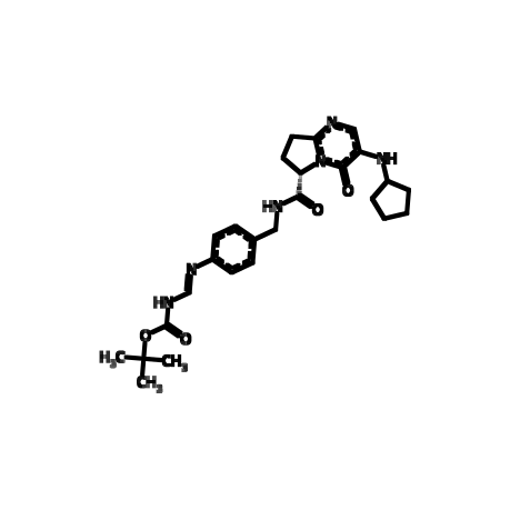 CC(C)(C)OC(=O)N/C=N/c1ccc(CNC(=O)[C@@H]2CCc3ncc(NC4CCCC4)c(=O)n32)cc1